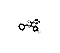 Clc1ccc(C(SCC2CCCCCC2)C(Cl)n2ccnc2)cc1